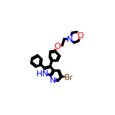 Brc1cnc2[nH]c(-c3ccccc3)c(-c3ccc(OCCN4CCOCC4)cc3)c2c1